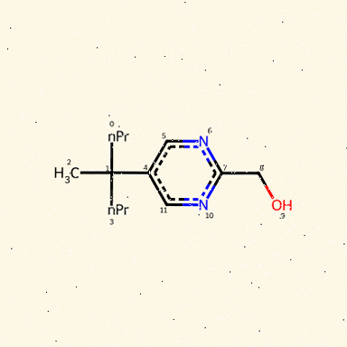 CCCC(C)(CCC)c1cnc(CO)nc1